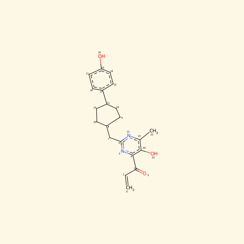 C=CC(=O)c1nc(CC2CCC(c3ccc(O)cc3)CC2)nc(C)c1O